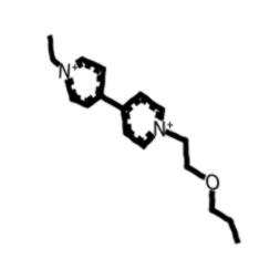 CCCOCC[n+]1ccc(-c2cc[n+](CC)cc2)cc1